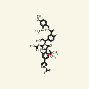 COc1ccc(CNC(=O)c2cc(C(CO)N3C(=O)[C@@](CC(C)(C)C)(c4ccc(-c5cnn(C(F)F)c5)cc4F)NC3=NC(=O)O)ccc2Cl)c(OC)c1